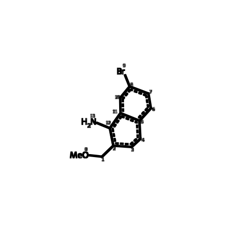 COCc1ccc2ccc(Br)cc2c1N